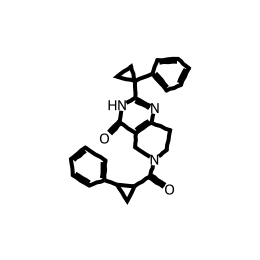 O=C(C1CC1c1ccccc1)N1CCc2nc(C3(c4ccccc4)CC3)[nH]c(=O)c2C1